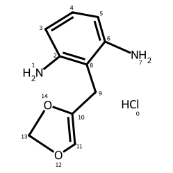 Cl.Nc1cccc(N)c1CC1=COCO1